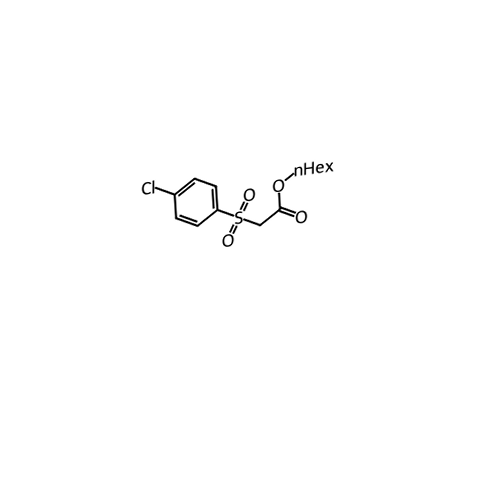 CCCCCCOC(=O)CS(=O)(=O)c1ccc(Cl)cc1